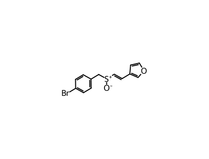 [O-][S+](C=Cc1ccoc1)Cc1ccc(Br)cc1